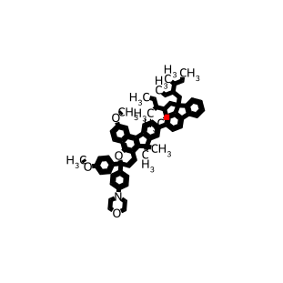 CCC(C)C(CC)CC1(CC(CC)C(C)CC)c2ccccc2-c2ccc(-c3ccc4c(c3)C(C)(C)c3c5c(c6ccc(OC)cc6c3-4)OC(c3ccc(OC)cc3)(c3ccc(N4CCOCC4)cc3)C=C5)cc21